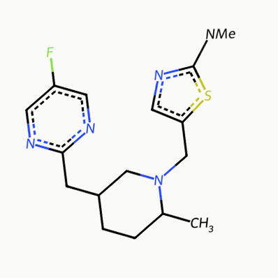 CNc1ncc(CN2CC(Cc3ncc(F)cn3)CCC2C)s1